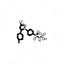 Cc1ccc(-c2cc(C(F)(F)F)nn2-c2ccc(S(=O)(=O)NP(=O)(O)O)cc2)cc1